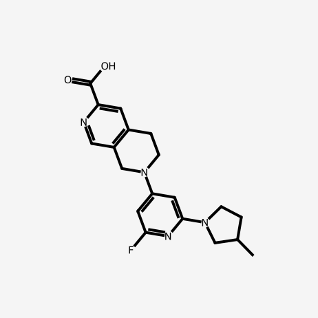 CC1CCN(c2cc(N3CCc4cc(C(=O)O)ncc4C3)cc(F)n2)C1